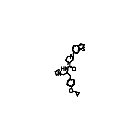 O=C(NC(Cc1ccc(OC2CC2)cc1)CN1CCC1)[C@@H]1CCN(c2ccc3ccsc3c2)C1